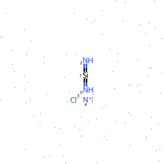 N=[Si]=N.[Cl-].[N+]